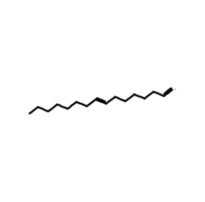 [CH]=CCCCCCC=CCCCCCCC